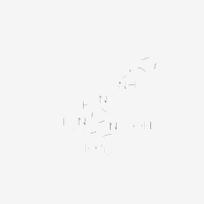 Nc1c(F)c(NCCN[C@@H]2C[C@H]2c2ccccc2)cc2c1c(=O)c(C(=O)O)cn2CCO